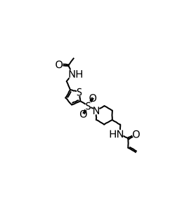 C=CC(=O)NCC1CCN(S(=O)(=O)c2ccc(CNC(C)=O)s2)CC1